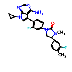 Cc1ccc(C2CN(c3ccc(-c4cn(C5CC5)c5ncnc(N)c45)c(F)c3)C(=O)N2C)cc1F